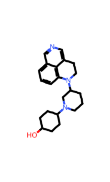 OC1CCC(N2CCCC(N3CCc4cncc5cccc3c45)C2)CC1